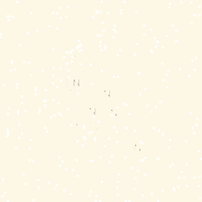 Cn1c(N2CCOC(c3ccccc3N)C2)nc(-c2ccncc2)cc1=O